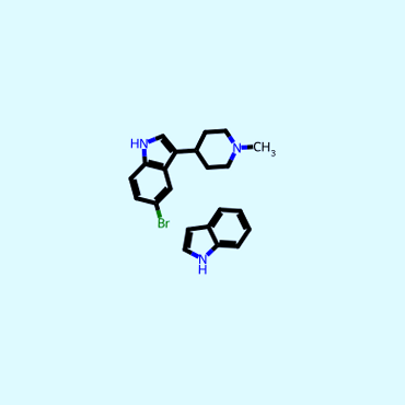 CN1CCC(c2c[nH]c3ccc(Br)cc23)CC1.c1ccc2[nH]ccc2c1